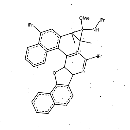 COC1(NC(C)C)C2(C)c3cc(C(C)C)c4ccccc4c3C3=[N+](C(C(C)C)=NC4c5ccc6ccccc6c5OC34)C12C